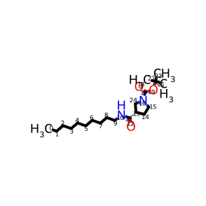 CCCCCCCCCCNC(=O)[C@H]1CCN(C(=O)OC(C)(C)C)C1